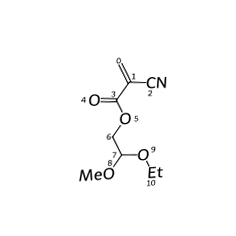 C=C(C#N)C(=O)OCC(OC)OCC